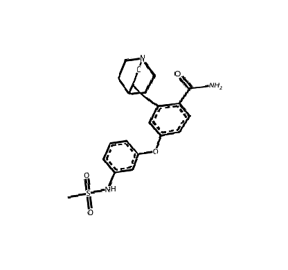 CS(=O)(=O)Nc1cccc(Oc2ccc(C(N)=O)c(C3CN4CCC3CC4)c2)c1